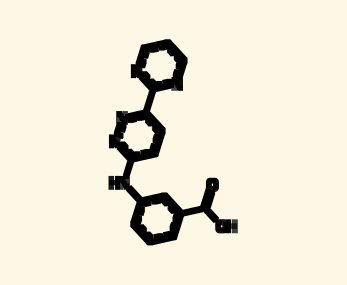 O=C(O)c1cccc(Nc2ccc(-c3ncccn3)nn2)c1